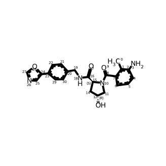 Cc1c(N)cccc1C(=O)N1C[C@H](O)C[C@H]1C(=O)NCc1ccc(-c2cnco2)cc1